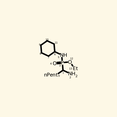 CCCCCC(N)P(=O)(NC1CCCCC1)OCC